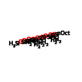 CCCCCCCC[SiH2]O[SiH2]O[SiH2]O[SiH2]O[SiH2]O[SiH2]O[SiH2]O[SiH2]O[SiH2]O[SiH3]